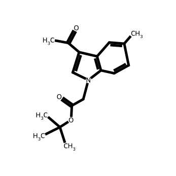 CC(=O)c1cn(CC(=O)OC(C)(C)C)c2ccc(C)cc12